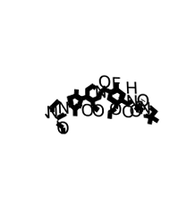 CCOc1cc(C(=O)N2CCc3c(c(=O)oc4c(C)c(N5CCN(C)[C@@H](COC)C5)cc(C)c34)C2)c(F)cc1C(=O)NS(=O)(=O)N1CCC(C)(C)C1